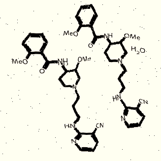 COc1ccccc1C(=O)NC1CCN(CCCNc2ncccc2C#N)CC1OC.COc1ccccc1C(=O)NC1CCN(CCCNc2ncccc2C#N)CC1OC.O